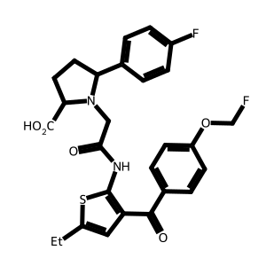 CCc1cc(C(=O)c2ccc(OCF)cc2)c(NC(=O)CN2C(C(=O)O)CCC2c2ccc(F)cc2)s1